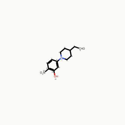 O=CCC1CCN(c2ccc([N+](=O)[O-])c(O)c2)CC1